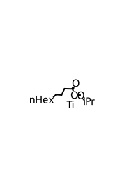 CCCCCCCCCC(=O)OOC(C)C.[Ti]